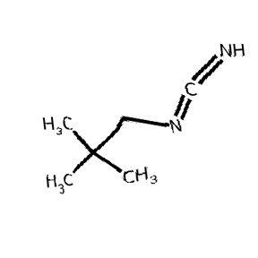 CC(C)(C)CN=C=N